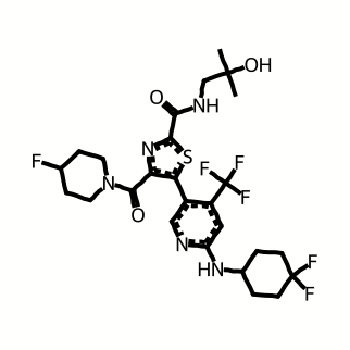 CC(C)(O)CNC(=O)c1nc(C(=O)N2CCC(F)CC2)c(-c2cnc(NC3CCC(F)(F)CC3)cc2C(F)(F)F)s1